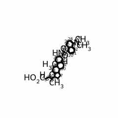 CC(CCC(=O)O)C1CCC2C3CC[C@@H]4C[C@H](NS(=O)(=O)c5cccc6c(N(C)C)cccc56)CC[C@]4(C)C3CC[C@]12C